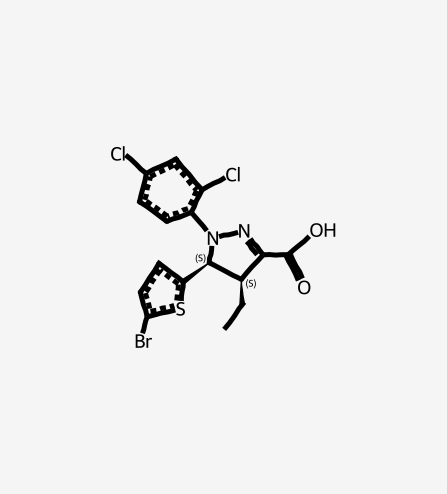 CC[C@@H]1C(C(=O)O)=NN(c2ccc(Cl)cc2Cl)[C@@H]1c1ccc(Br)s1